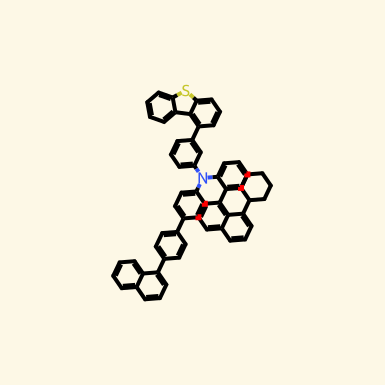 c1cc(-c2cccc3sc4ccccc4c23)cc(N(c2ccc(-c3ccc(-c4cccc5ccccc45)cc3)cc2)c2ccccc2-c2cccc3cccc(C4CCCCC4)c23)c1